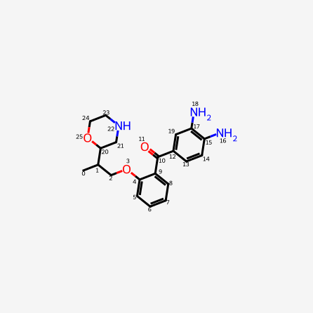 CC(COc1ccccc1C(=O)c1ccc(N)c(N)c1)C1CNCCO1